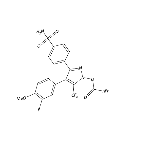 CCCC(=O)On1nc(-c2ccc(S(N)(=O)=O)cc2)c(-c2ccc(OC)c(F)c2)c1C(F)(F)F